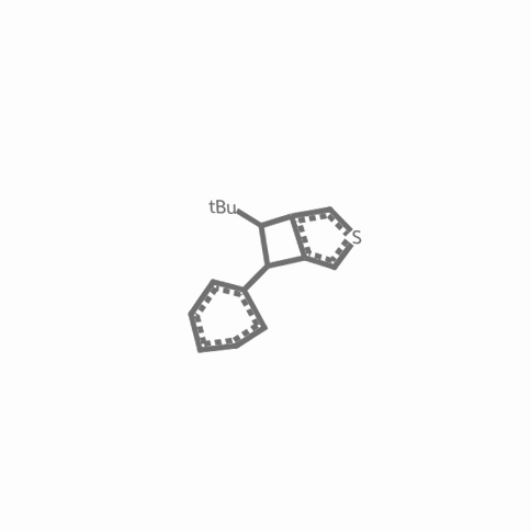 CC(C)(C)C1c2cscc2C1c1ccccc1